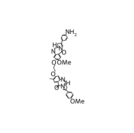 COc1ccc(C2=CN3C(=O)c4cc(C)c(OCCCOc5cc6c(cc5OC)C(=O)N5C=C(c7ccc(N)cc7)C[C@H]5C=N6)cc4N=C[C@@H]3C2)cc1